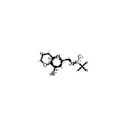 CC(C)(C)[S@+]([O-])/N=C/c1cc(Br)c2c(n1)CCCO2